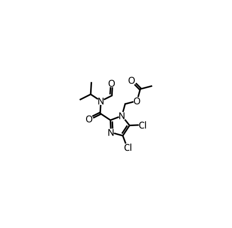 CC(=O)OCn1c(C(=O)N(C=O)C(C)C)nc(Cl)c1Cl